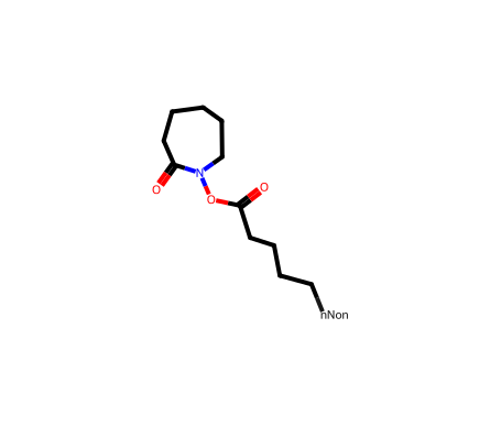 CCCCCCCCCCCCCC(=O)ON1CCCCCC1=O